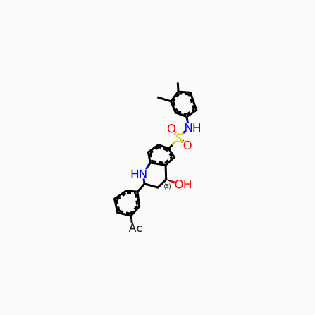 CC(=O)c1cccc(C2C[C@H](O)c3cc(S(=O)(=O)Nc4ccc(C)c(C)c4)ccc3N2)c1